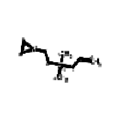 C=CC[Si](C)(C)CCN1CC1